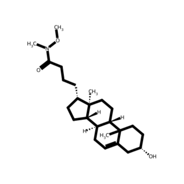 CON(C)C(=O)CCC[C@H]1CC[C@H]2[C@@H]3CC=C4C[C@@H](O)CCC4(C)[C@H]3CC[C@]12C